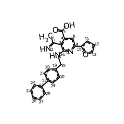 CC(=N)c1c(C(=O)O)cc(-c2ccco2)nc1NCc1ccc(-c2ccccc2)cc1